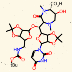 CN1C[C@H](O)[C@@H](C(=O)O)N(C)C(=O)C1[C@H](OC1OC(CNC(=O)OC(C)(C)C)C2OC(C)(C)OC12)C1OC(n2ccc(=O)[nH]c2=O)C2OC(C)(C)OC21